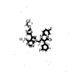 C[C@@H](c1nc2ccc(F)cn2c(=O)c1-c1cccc(F)c1)n1nc(-c2cnc(OCC(F)(F)F)s2)c2c(N)ncnc21